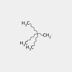 [CH2]CCC(CCCCCC)(CCCCCC)CCCCCC